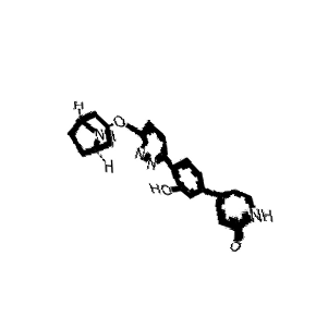 O=c1cc(-c2ccc(-c3ccc(O[C@@H]4C[C@H]5CC[C@@H](C4)N5)nn3)c(O)c2)cc[nH]1